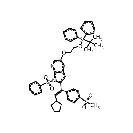 CC(C)(C)[Si](OCCOc1cnc2c(c1)cc(C(=CC1CCCC1)c1ccc(S(C)(=O)=O)cc1)n2S(=O)(=O)c1ccccc1)(c1ccccc1)c1ccccc1